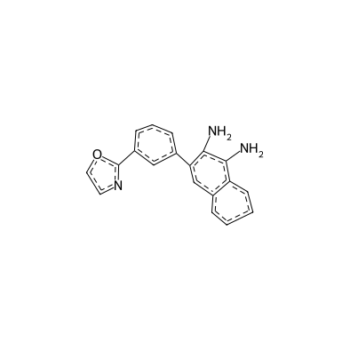 Nc1c(-c2cccc(-c3ncco3)c2)cc2ccccc2c1N